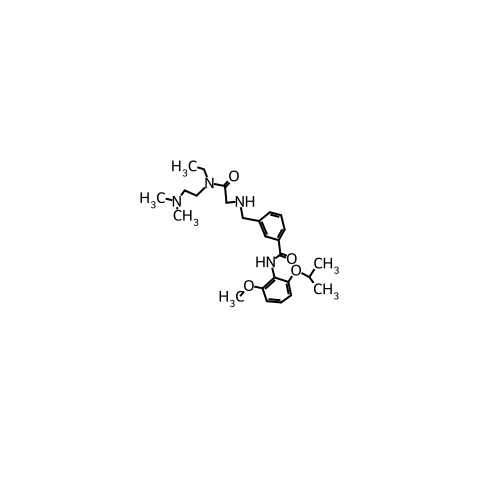 CCN(CCN(C)C)C(=O)CNCc1cccc(C(=O)Nc2c(OC)cccc2OC(C)C)c1